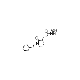 O=C(CCC1CCCN(C=Cc2ccccc2)C1=O)NO